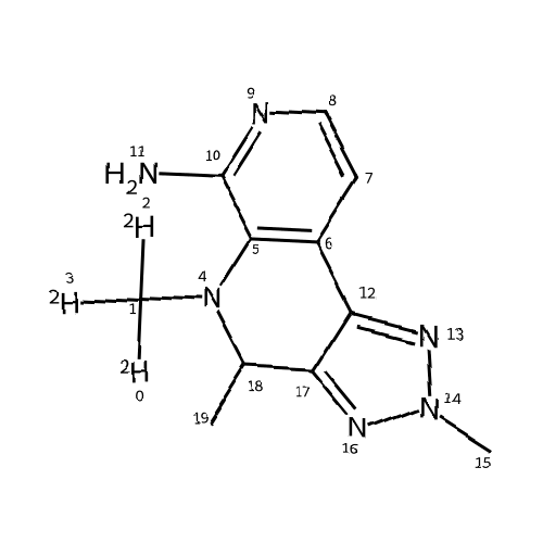 [2H]C([2H])([2H])N1c2c(ccnc2N)-c2nn(C)nc2C1C